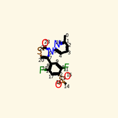 Cc1cccc(-n2c(-c3cc(F)c(S(C)(=O)=O)cc3F)csc2=O)n1